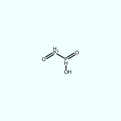 O=[PH2][PH](=O)O